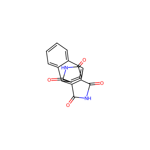 O=c1[nH]c(=O)c2c1c1c3ccccc3c2c2c(=O)[nH]c(=O)c21